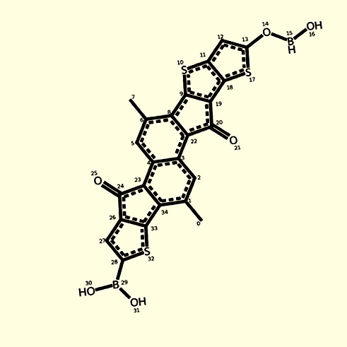 Cc1cc2c(cc(C)c3c4sc5cc(OBO)sc5c4c(=O)c23)c2c(=O)c3cc(B(O)O)sc3c12